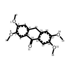 COc1cc2c(cc1OC)C(=O)c1cc(OC)c(OC)cc1C2